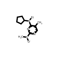 CCN(c1nc([S+](C)[O-])ncc1C)C1CCCC1